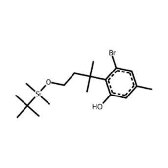 Cc1cc(O)c(C(C)(C)CCO[Si](C)(C)C(C)(C)C)c(Br)c1